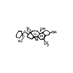 COC1(OC2CC[C@H]3[C@@H]4CC(C)=C5CC(O)CC[C@]5(CO)[C@@H]4CC[C@]23C)CCCCC1